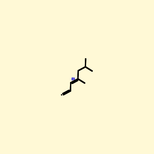 [CH]=C/C=C(\C)CC(C)C